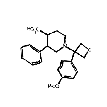 COc1ccc(C2(N3CCC(C(=O)O)C(c4ccccc4)C3)COC2)cc1